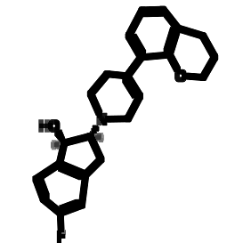 O[C@@H]1c2ccc(F)cc2C[C@H]1N1CC=C(c2cccc3c2OCCC3)CC1